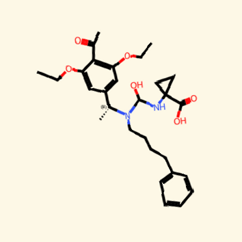 CCOc1cc([C@@H](C)N(CCCCc2ccccc2)C(O)NC2(C(=O)O)CC2)cc(OCC)c1C(C)=O